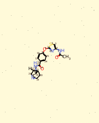 CC(=O)Nc1csc(Oc2ccc(C(=O)N[C@H]3CN4CCC3CC4)cc2)n1